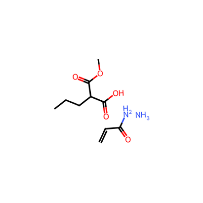 C=CC(N)=O.CCCC(C(=O)O)C(=O)OC.N